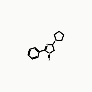 S=S1CC(N2CCCC2)N=C1c1ccccc1